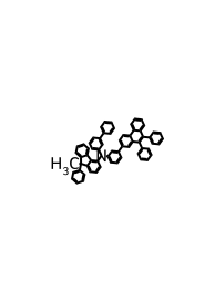 CC1(c2ccccc2)c2ccccc2-c2c(N(c3cccc(-c4ccccc4)c3)c3cccc(-c4ccc5c(c4)c(-c4ccccc4)c(-c4ccccc4)c4ccccc45)c3)cccc21